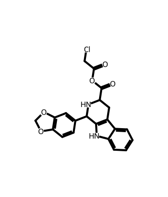 O=C(CCl)OC(=O)C1Cc2c([nH]c3ccccc23)C(c2ccc3c(c2)OCO3)N1